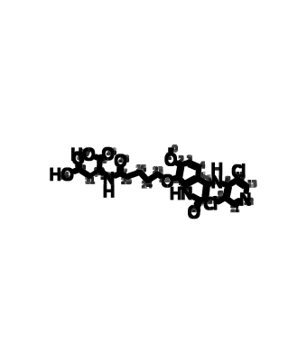 COc1ccc2c(Nc3c(Cl)cncc3Cl)cc(=O)[nH]c2c1OCCCCC(=O)N[C@@H](CC(=O)O)C(=O)O